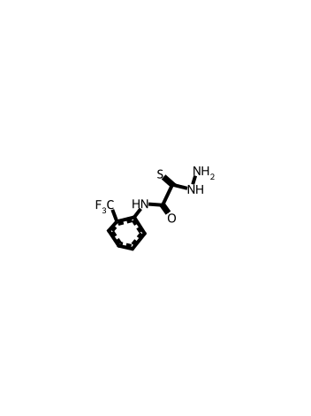 NNC(=S)C(=O)Nc1ccccc1C(F)(F)F